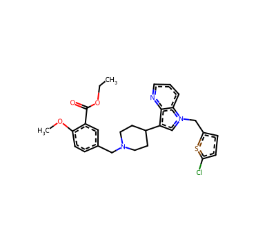 CCOC(=O)c1cc(CN2CCC(c3cn(Cc4ccc(Cl)s4)c4cccnc34)CC2)ccc1OC